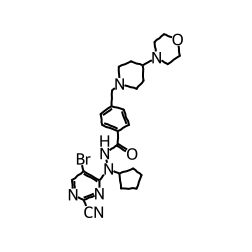 N#Cc1ncc(Br)c(N(NC(=O)c2ccc(CN3CCC(N4CCOCC4)CC3)cc2)C2CCCC2)n1